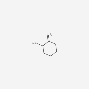 C=C1CCC[CH]C1CCC